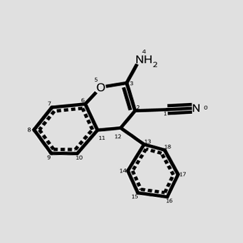 N#CC1=C(N)Oc2ccccc2C1c1ccccc1